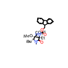 CC[C@H](C)[C@@H]([C@@H](CC(=O)O)OC)N(C)C(=O)[C@](C)(CC)NC(=O)OCC1c2ccccc2-c2ccccc21